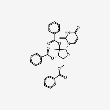 C=C1NC(=O)C=CN1[C@@H]1O[C@H](COC(=O)c2ccccc2)[C@H](OC(=O)c2ccccc2)C1(C)OC(=O)c1ccccc1